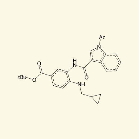 CC(=O)n1cc(C(=O)Nc2cc(C(=O)OC(C)(C)C)ccc2NCC2CC2)c2ccccc21